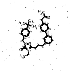 CCn1c(CCCc2cccc(-c3ccc(CC(C)=O)cc3)c2)nn(Cc2ccc(C(C)(C)C)cc2)c1=O